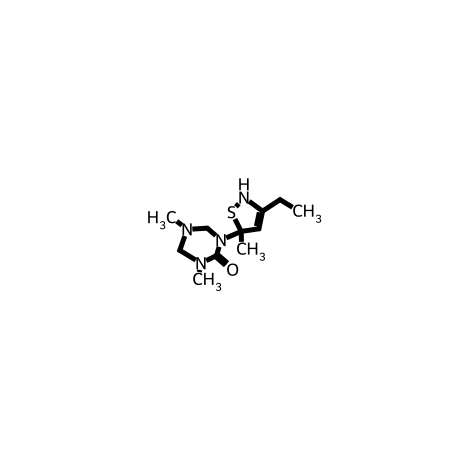 CCC1=CC(C)(N2CN(C)CN(C)C2=O)SN1